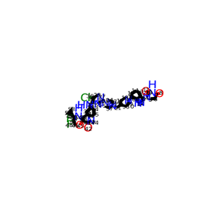 Cn1nc(-n2ccc(=O)[nH]c2=O)c2cccc(N3CCC(CN4CCN(c5ncc(Cl)c(Nc6ccc7c(c6)c6c(c(=O)n7C)OCC(F)(F)C(C7CC7)N6)n5)CC4)CC3)c21